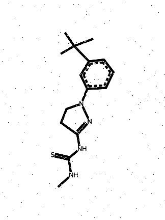 CNC(=S)NC1=NN(c2cccc(C(C)(C)C)c2)CC1